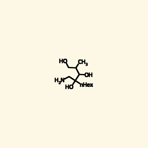 CCCCCCC(O)(CN)C(O)C(C)CO